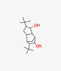 CC(C)(C)C1CC2C3CC(C(O)C3C(C)(C)C)C2C1O